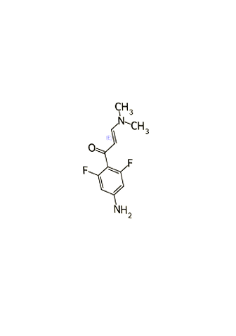 CN(C)/C=C/C(=O)c1c(F)cc(N)cc1F